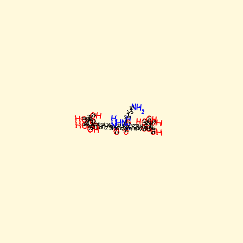 NCCCCCC(=O)NC(CCC(=O)NCCCCCCO[C@H]1O[C@H](CO)C(O)C(O)C1O)C(=O)NCCCCCCO[C@H]1O[C@H](CO)C(O)C(O)C1O